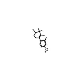 COc1ccc(C2=C(C)C(C)(C)C(C)CC2)c(C)c1